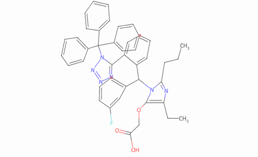 CCCc1nc(CC)c(OCC(=O)O)n1C(c1cccc(F)c1)c1ccccc1-c1nnnn1C(c1ccccc1)(c1ccccc1)c1ccccc1